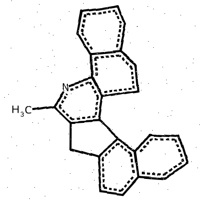 Cc1nc2c(ccc3ccccc32)c2c1Cc1ccc3ccccc3c1-2